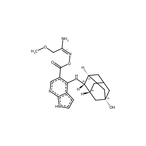 COC/C(N)=N\OC(=O)c1cnc2[nH]ccc2c1N[C@H]1[C@@H]2CC3C[C@H]1C[C@@](O)(C3)C2